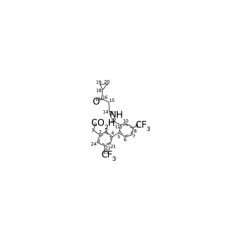 O=C(O)Cc1cc(-c2ccc(C(F)(F)F)cc2CNCCC(=O)C2CC2)cc(C(F)(F)F)c1